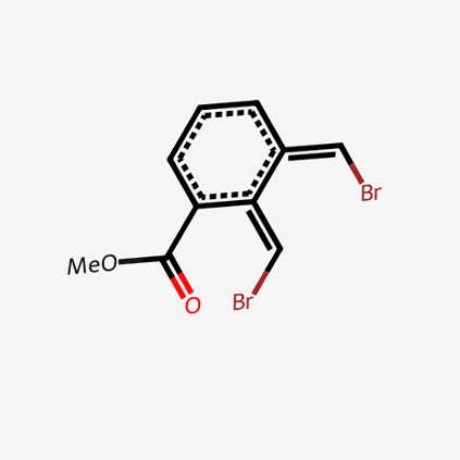 COC(=O)c1cccc(=CBr)c1=CBr